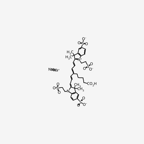 CC1(C)C(/C=C/C=C(/C=C/C=C2/N(CCS(=O)(=O)[O-])c3ccc(S(=O)(=O)[O-])cc3C2(C)C)CCCCC(=O)O)=[N+](CCS(=O)(=O)[O-])c2ccc(S(=O)(=O)[O-])cc21.[Na+].[Na+].[Na+]